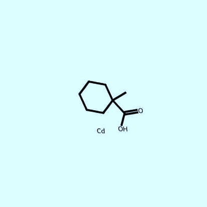 CC1(C(=O)O)CCCCC1.[Cd]